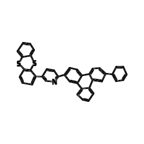 c1ccc(-c2ccc3c4ccc(-c5ccc(-c6cccc7c6Sc6ccccc6S7)cn5)cc4c4ccccc4c3c2)cc1